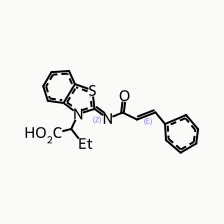 CCC(C(=O)O)n1/c(=N/C(=O)/C=C/c2ccccc2)sc2ccccc21